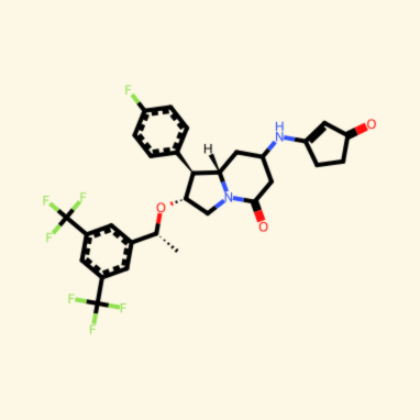 C[C@@H](O[C@H]1CN2C(=O)CC(NC3=CC(=O)CC3)C[C@H]2[C@@H]1c1ccc(F)cc1)c1cc(C(F)(F)F)cc(C(F)(F)F)c1